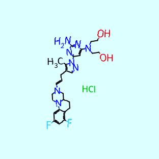 Cc1c(CC=CN2CCN3c4cc(F)cc(F)c4CCC3C2)cnn1-c1cc(N(CCO)CCO)nc(N)n1.Cl